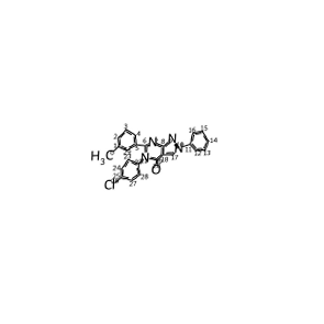 Cc1cccc(-c2nc3nn(-c4ccccc4)cc3c(=O)n2-c2ccc(Cl)cc2)c1